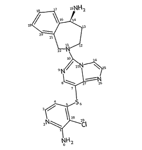 Nc1nccc(Sc2cnc(N3CC[C@H](N)c4ccccc4C3)n3ccnc23)c1Cl